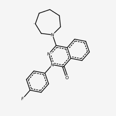 O=c1c2ccccc2c(N2C[CH]CCCC2)nn1-c1ccc(F)cc1